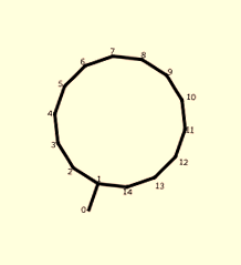 CC1CCCCCCCCCCCCC1